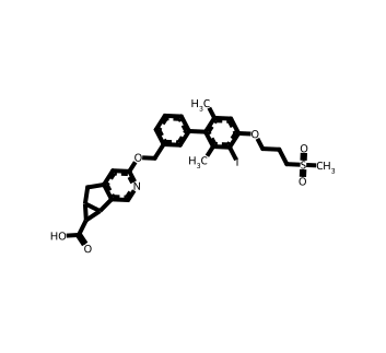 Cc1cc(OCCCS(C)(=O)=O)c(I)c(C)c1-c1cccc(COc2cc3c(cn2)C2C(C3)C2C(=O)O)c1